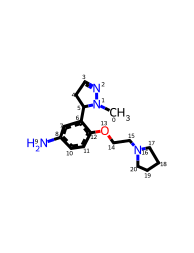 CN1N=CCC1c1cc(N)ccc1OCCN1CCCC1